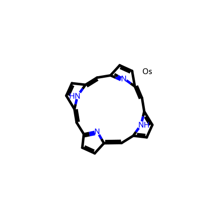 C1=Cc2cc3ccc(cc4nc(cc5ccc(cc1n2)[nH]5)C=C4)[nH]3.[Os]